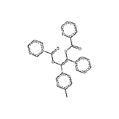 Cc1ccc(C(OC(=O)c2ccccc2)=C(OC(=O)c2ccccc2)c2ccccc2)cc1